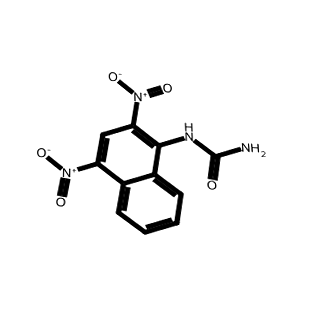 NC(=O)Nc1c([N+](=O)[O-])cc([N+](=O)[O-])c2ccccc12